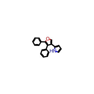 c1ccc(-c2occ(-c3ccc[nH]3)c2-c2ccccc2)cc1